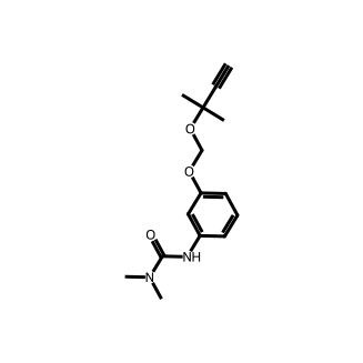 C#CC(C)(C)OCOc1cccc(NC(=O)N(C)C)c1